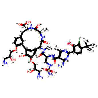 Cc1nc(-c2ccc(C(C)(C)C)c(F)c2O)nc(N)c1C(=O)NC(CNS(N)(=O)=O)C(=O)N(C)[C@@H]1C(=O)N[C@@H](C)C(=O)N[C@H](C(=O)O)Cc2ccc(OCC(O)CN)c(c2)-c2cc1cc(OCC(O)CN)c2O